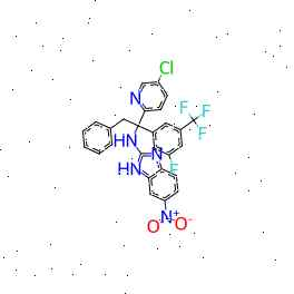 O=[N+]([O-])c1ccc2nc(NC(Cc3ccccc3)(c3cc(F)cc(C(F)(F)F)c3)c3ccc(Cl)cn3)[nH]c2c1